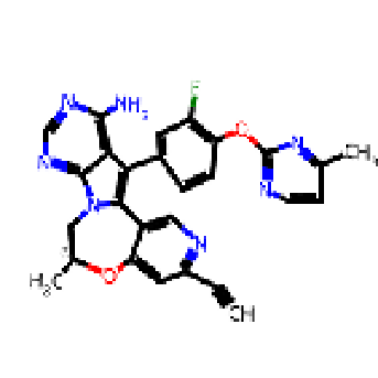 C#Cc1cc2c(cn1)-c1c(-c3ccc(Oc4nccc(C)n4)c(F)c3)c3c(N)ncnc3n1C[C@H](C)O2